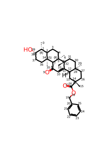 C[C@@H]1C2CC[C@]3(C)C(C(=O)C=C4[C@@H]5C[C@@](C)(C(=O)OCc6ccccc6)CC[C@]5(C)CC[C@]43C)[C@@]2(C)CC[C@@H]1O